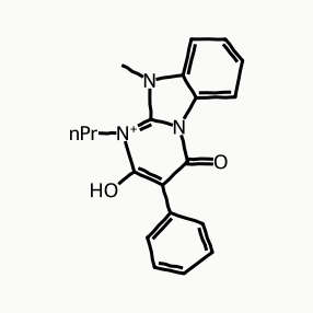 CCC[n+]1c(O)c(-c2ccccc2)c(=O)n2c3ccccc3n(C)c21